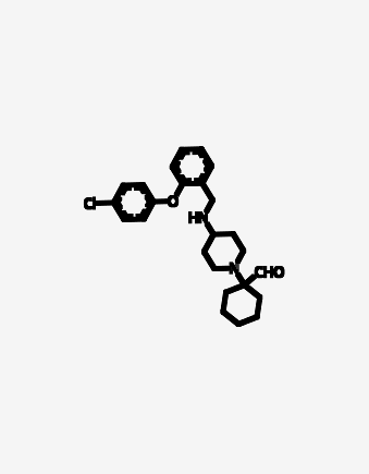 O=CC1(N2CCC(NCc3ccccc3Oc3ccc(Cl)cc3)CC2)CCCCC1